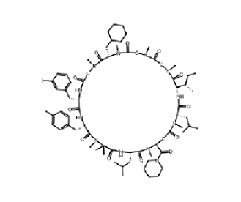 CC[C@H](C)[C@@H]1NC(=O)[C@H](CC(C)C)N(C)C(=O)C[C@@H](C(=O)N2CCCCC2)N(C)C(=O)[C@H](CC(C)C)NC(=O)C(C)(C)N(C)C(=O)[C@H](Cc2ccc(C)cc2)NC(=O)[C@H](Cc2cccc(I)c2)NC(=O)CN(C)C(=O)[C@H](CC2CCCCC2)N(C)C(=O)CN(C)C(=O)CN(C)C1=O